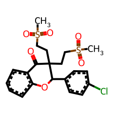 CS(=O)(=O)CCC1(CCS(C)(=O)=O)C(=O)c2ccccc2OC1c1ccc(Cl)cc1